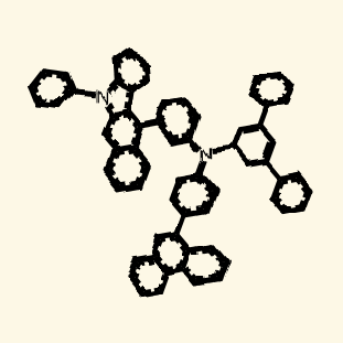 C1=C(c2ccccc2)C=C(c2ccccc2)CC1N(c1ccc(-c2cc3ccccc3c3ccccc23)cc1)c1cccc(-c2c3ccccc3cc3c2c2ccccc2n3-c2ccccc2)c1